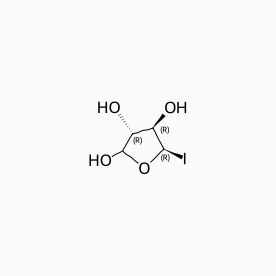 OC1O[C@H](I)[C@H](O)[C@H]1O